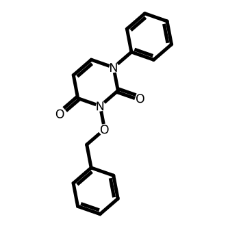 O=c1ccn(-c2ccccc2)c(=O)n1OCc1ccccc1